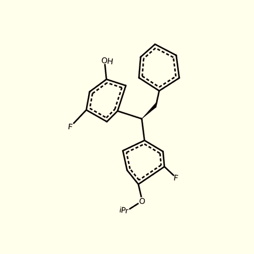 CC(C)Oc1ccc([C@H](Cc2ccccc2)c2cc(O)cc(F)c2)cc1F